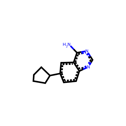 Nc1ncnc2ccc(C3CCCC3)cc12